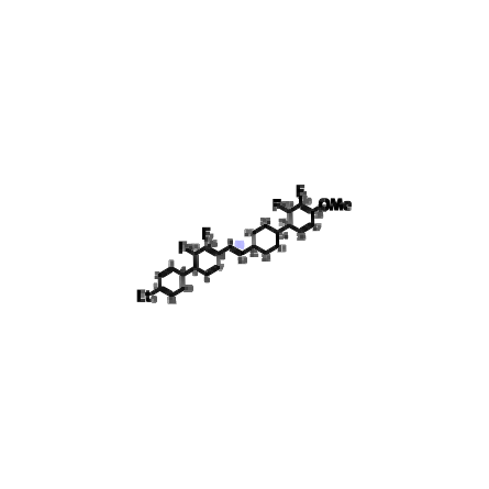 CCc1ccc(-c2ccc(/C=C/C3CCC(c4ccc(OC)c(F)c4F)CC3)c(F)c2F)cc1